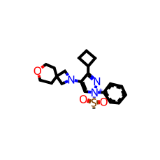 CS(=O)(=O)[N+]1(c2ccccc2)C=C(N2CC3(CCOCC3)C2)C(C2CCC2)=N1